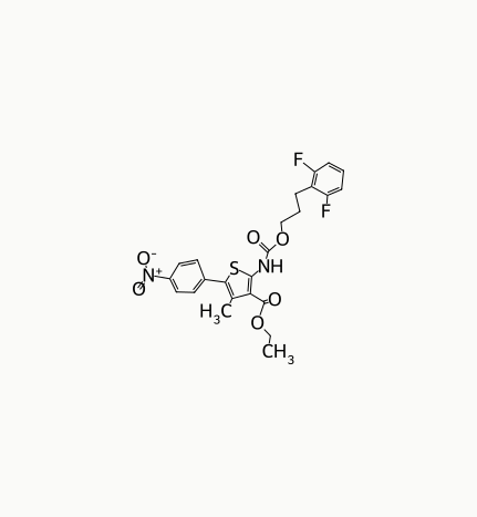 CCOC(=O)c1c(NC(=O)OCCCc2c(F)cccc2F)sc(-c2ccc([N+](=O)[O-])cc2)c1C